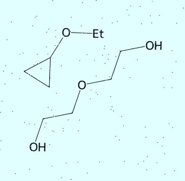 CCOC1CC1.OCCOCCO